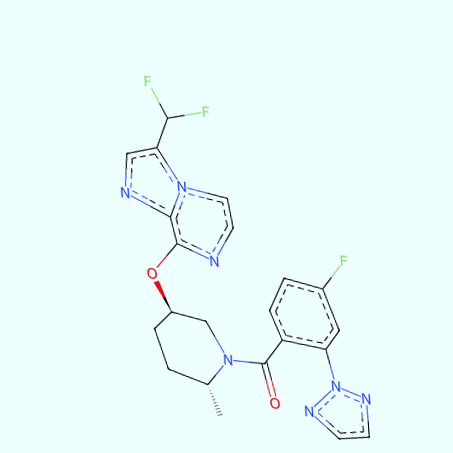 C[C@@H]1CC[C@@H](Oc2nccn3c(C(F)F)cnc23)CN1C(=O)c1ccc(F)cc1-n1nccn1